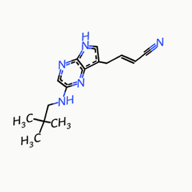 CC(C)(C)CNc1cnc2[nH]cc(CC=CC#N)c2n1